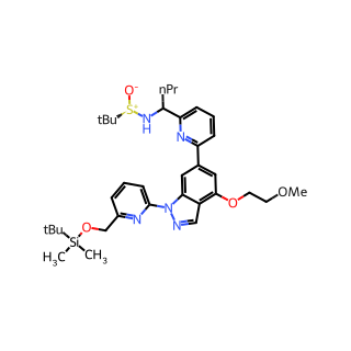 CCCC(N[S@+]([O-])C(C)(C)C)c1cccc(-c2cc(OCCOC)c3cnn(-c4cccc(CO[Si](C)(C)C(C)(C)C)n4)c3c2)n1